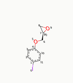 Ic1ccc(OC[C@H]2CO2)cc1